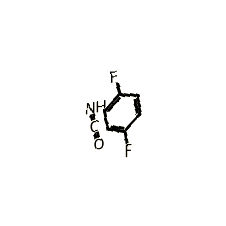 Fc1ccc(F)cc1.N=C=O